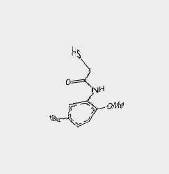 COc1ccc(C(C)(C)C)cc1NC(=O)CS